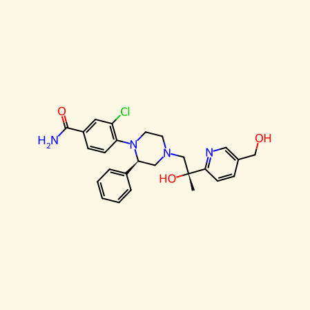 C[C@@](O)(CN1CCN(c2ccc(C(N)=O)cc2Cl)[C@H](c2ccccc2)C1)c1ccc(CO)cn1